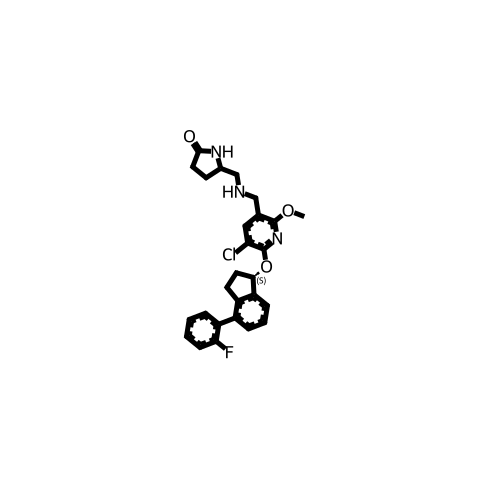 COc1nc(O[C@H]2CCc3c(-c4ccccc4F)cccc32)c(Cl)cc1CNCC1CCC(=O)N1